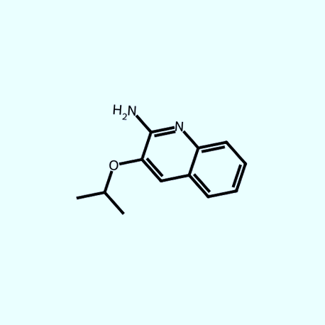 CC(C)Oc1cc2ccccc2nc1N